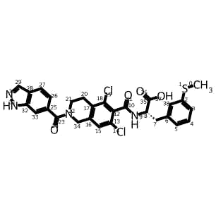 CSc1cccc(C[C@H](NC(=O)c2c(Cl)cc3c(c2Cl)CCN(C(=O)c2ccc4cn[nH]c4c2)C3)C(=O)O)c1